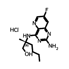 CCCC[C@](C)(CO)Nc1nc(N)nc2cc(F)cnc12.Cl